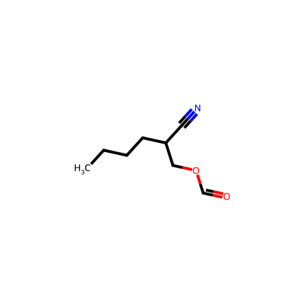 CCCCC(C#N)COC=O